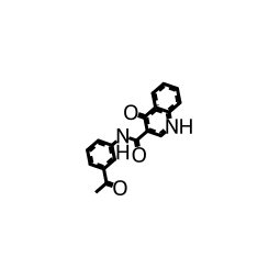 CC(=O)c1cccc(NC(=O)c2c[nH]c3ccccc3c2=O)c1